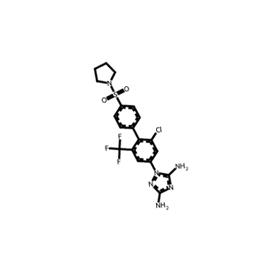 Nc1nc(N)n(-c2cc(Cl)c(-c3ccc(S(=O)(=O)N4CCCC4)cc3)c(C(F)(F)F)c2)n1